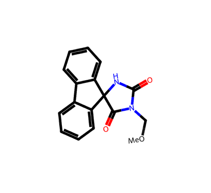 COCN1C(=O)NC2(C1=O)c1ccccc1-c1ccccc12